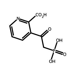 O=C(CP(=O)(O)O)c1cccnc1C(=O)O